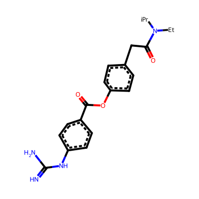 CCN(C(=O)Cc1ccc(OC(=O)c2ccc(NC(=N)N)cc2)cc1)C(C)C